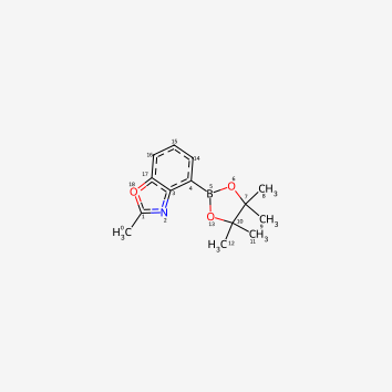 Cc1nc2c(B3OC(C)(C)C(C)(C)O3)cccc2o1